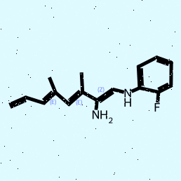 C=C/C=C(C)/C=C(C)/C(N)=C/Nc1ccccc1F